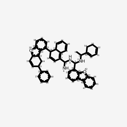 CC(NC(NC(N)C1=C2C=CC=CC2C(c2cccc3oc4c(c23)CC(c2ccccc2)C=C4)C=C1)c1cccc2c1oc1ccccc12)C1=CC=CCC1